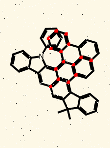 CC1(C)c2ccccc2-c2c(-c3ccccc3N(C3=c4c(c5ccccc5n4-c4ccccc4)=CCC3)c3ccccc3-c3ccccc3-c3ccccc3-c3ccccc3)cccc21